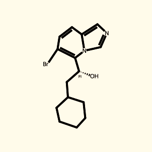 O[C@H](CC1CCCCC1)c1c(Br)ccc2cncn12